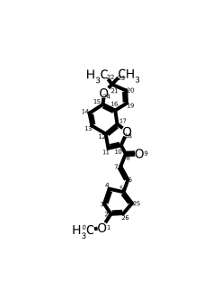 COc1ccc(/C=C/C(=O)c2cc3ccc4c(c3o2)C=CC(C)(C)O4)cc1